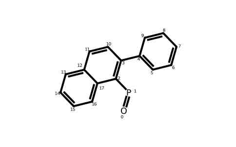 O=Pc1c(-c2ccccc2)ccc2ccccc12